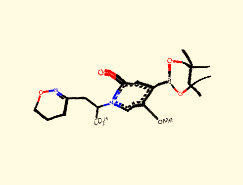 COc1cn(C(CC2=NOCCC2)C(=O)O)c(=O)cc1B1OC(C)(C)C(C)(C)O1